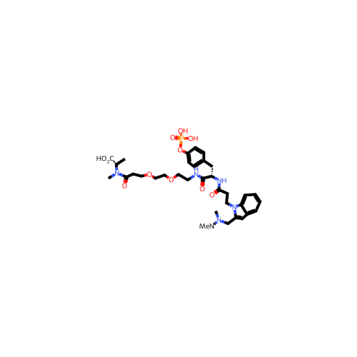 CNN(C)Cc1cc2ccccc2n1CCC(=O)N[C@@H](Cc1ccc(OP(=O)(O)O)cc1)C(=O)NCCOCCOCCC(=O)N(C)[C@@H](C)C(=O)O